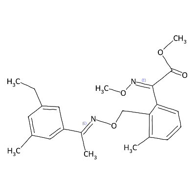 CCc1cc(C)cc(/C(C)=N/OCc2c(C)cccc2/C(=N\OC)C(=O)OC)c1